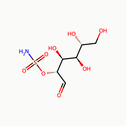 NS(=O)(=O)O[C@@H](C=O)[C@@H](O)[C@H](O)[C@H](O)CO